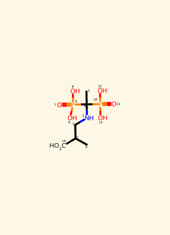 CC(CNC(C)(P(=O)(O)O)P(=O)(O)O)C(=O)O